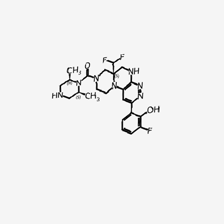 C[C@@H]1CNC[C@H](C)N1C(=O)N1CCN2c3cc(-c4cccc(F)c4O)nnc3NC[C@@]2(C(F)F)C1